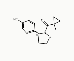 CC1(C(=O)N2OCC[C@H]2c2ccc(C#N)cc2)CC1